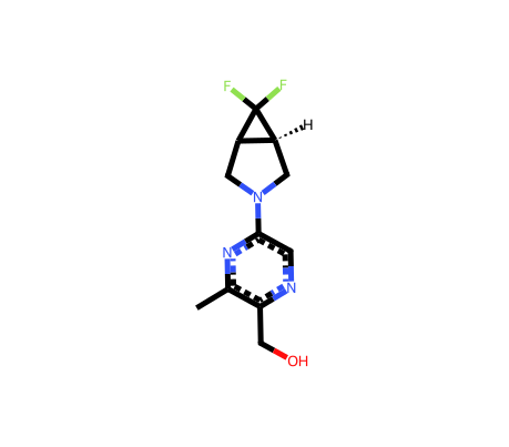 Cc1nc(N2CC3[C@H](C2)C3(F)F)cnc1CO